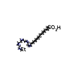 CC/C=C\C/C=C\C/C=C\C/C=C\C/C=C\CCCCCCCCCCCCCCCC(=O)O